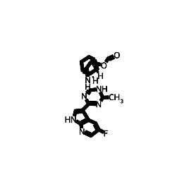 CC1N=C(c2c[nH]c3ncc(F)cc23)N=C(N[C@H]2C3CCC(CC3)[C@@H]2OC=O)N1